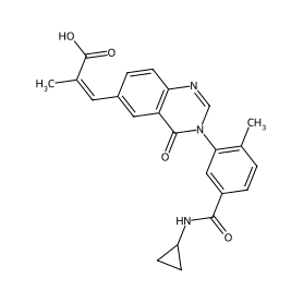 CC(=Cc1ccc2ncn(-c3cc(C(=O)NC4CC4)ccc3C)c(=O)c2c1)C(=O)O